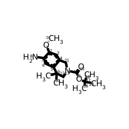 COc1cc2c(cc1N)C(C)(C)CN(C(=O)OC(C)(C)C)C2